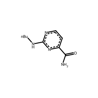 CCCCNc1nccc(C(N)=O)n1